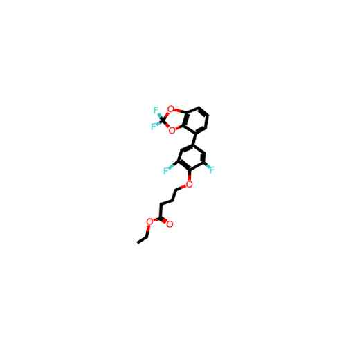 CCOC(=O)CCCOc1c(F)cc(-c2cccc3c2OC(F)(F)O3)cc1F